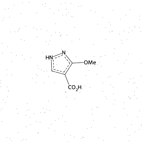 COc1n[nH]cc1C(=O)O